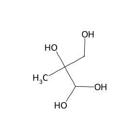 CC(O)(CO)C(O)O